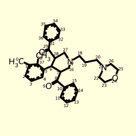 Cc1cccc(C2C(C(=O)c3ccccc3)CN(CCCN3CCOCC3)CC2C(=O)c2ccccc2)c1C